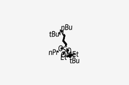 CCCCN(CCC[Si](OC)(OCCC)OC(CC)(CC)C(C)(C)C)C(C)(C)C